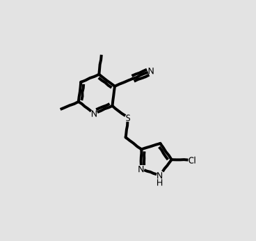 Cc1cc(C)c(C#N)c(SCc2cc(Cl)[nH]n2)n1